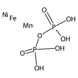 O=P(O)(O)OP(=O)(O)O.[Fe].[Mn].[Ni]